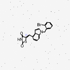 O=C1NC(=O)/C(=C/c2cccc3c2ccn3Cc2ccccc2Br)S1